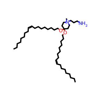 CCCCCCCC/C=C\CCCCCCCCOC1(OCCCCCCCC/C=C\CCCCCCCC)CC[N+](C)(CCCN)CC1